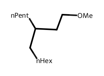 CCCCCCCC(CCCCC)CCOC